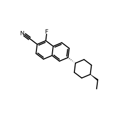 CC[C@H]1CC[C@H](c2ccc3c(F)c(C#N)ccc3c2)CC1